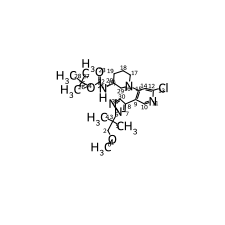 COCC(C)(C)n1cc(-c2cnc(Cl)cc2N2CCC[C@H](NC(=O)OC(C)(C)C)C2)cn1